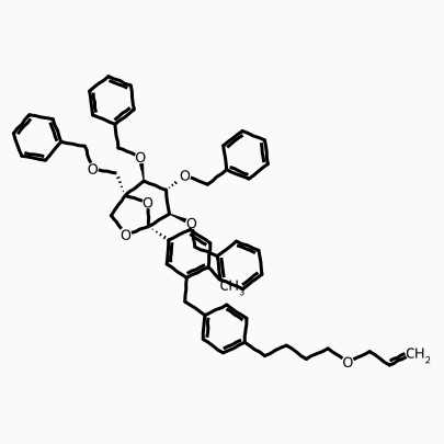 C=CCOCCCCc1ccc(Cc2cc([C@]34OC[C@](COCc5ccccc5)(O3)[C@@H](OCc3ccccc3)[C@H](OCc3ccccc3)[C@H]4OCc3ccccc3)ccc2C)cc1